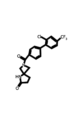 O=C1CCC2(CN(C(=O)c3ccc(-c4ccc(C(F)(F)F)cc4Cl)cc3)C2)N1